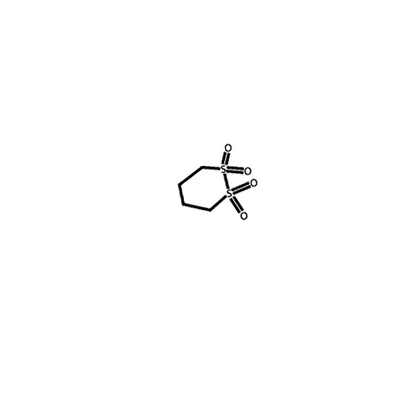 O=S1(=O)CCCCS1(=O)=O